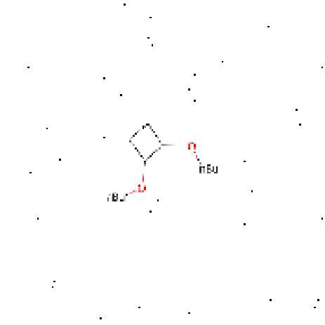 CCCCOC1CCC1OCCCC